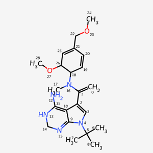 C=C(c1cn(C(C)(C)C)c2c1=C(N)NCN=2)N(C)C1C=CC(COC)=CC1OC